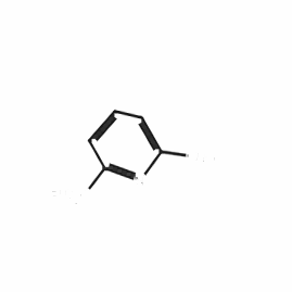 CCOC(=O)c1cccc(C=O)n1